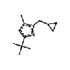 Cc1cc(C(C)(C)C)nn1CC1CC1